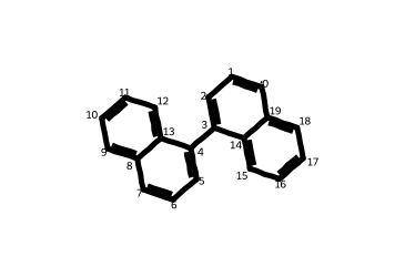 [c]1ccc(-c2cccc3ccccc23)c2ccccc12